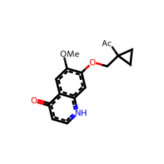 COc1cc2c(=O)cc[nH]c2cc1OCC1(C(C)=O)CC1